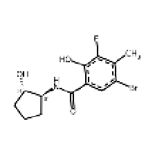 Cc1c(Br)cc(C(=O)N[C@H]2CCC[C@@H]2O)c(O)c1F